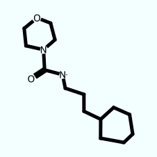 O=C([N]CCCC1CCCCC1)N1CCOCC1